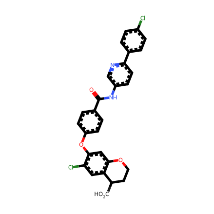 O=C(Nc1ccc(-c2ccc(Cl)cc2)nc1)c1ccc(Oc2cc3c(cc2Cl)C(C(=O)O)CCO3)cc1